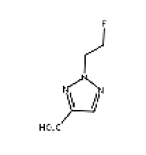 O=C(O)c1cnn(CCF)n1